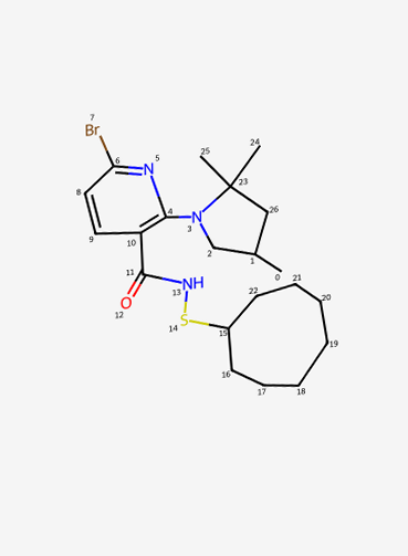 CC1CN(c2nc(Br)ccc2C(=O)NSC2CCCCCCC2)C(C)(C)C1